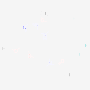 C=CC(=O)N1CCC(Oc2cc3c(Nc4cc(-c5cc(C(F)(F)F)ccc5F)ccc4OC)ncnc3cc2OC)CC1